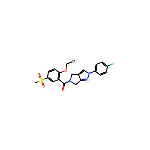 CS(=O)(=O)c1ccc(OCC(F)(F)F)c(C(=O)N2Cc3cn(-c4ccc(F)cc4)nc3C2)c1